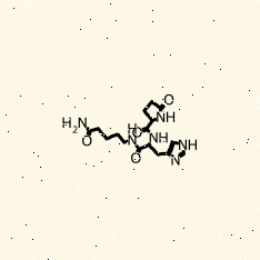 NC(=O)CCCCNC(=O)C(Cc1c[nH]cn1)NC(=O)C1CCC(=O)N1